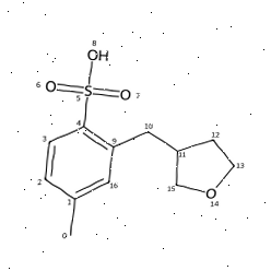 Cc1ccc(S(=O)(=O)O)c(CC2CCOC2)c1